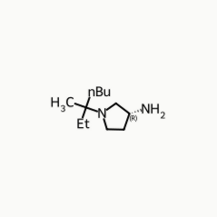 CCCCC(C)(CC)N1CC[C@@H](N)C1